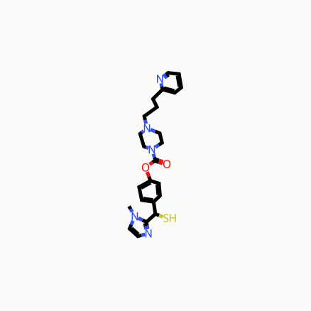 Cn1ccnc1C(S)c1ccc(OC(=O)N2CCN(CCCc3ccccn3)CC2)cc1